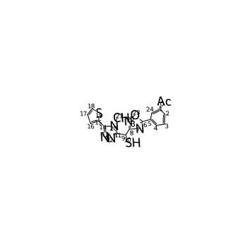 CC(=O)c1cccc(-c2nc(C(S)c3nnc(-c4cccs4)n3C)no2)c1